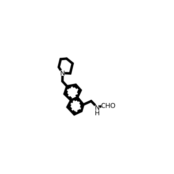 O=CNCc1cccc2cc(CN3CCCCC3)ccc12